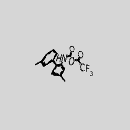 Cc1cccc(-c2ccc(C)cc2NC(=O)OC(=O)C(F)(F)F)c1